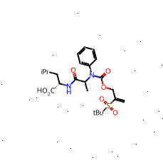 C=C(COC(=O)N(c1ccccc1)C(C)C(=O)N[C@@H](CC(C)C)C(=O)O)S(=O)(=O)C(C)(C)C